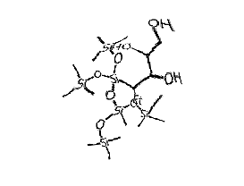 CCC(C(O)C(O)CO)[Si](O[Si](C)(C)C)(O[Si](C)(C)C)O[Si](C)(O[Si](C)(C)C)O[Si](C)(C)C